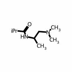 CC(CN(C)C)NC(=O)C(C)C